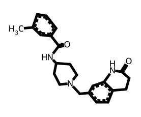 Cc1cccc(C(=O)NC2CCN(Cc3ccc4c(c3)NC(=O)CC4)CC2)c1